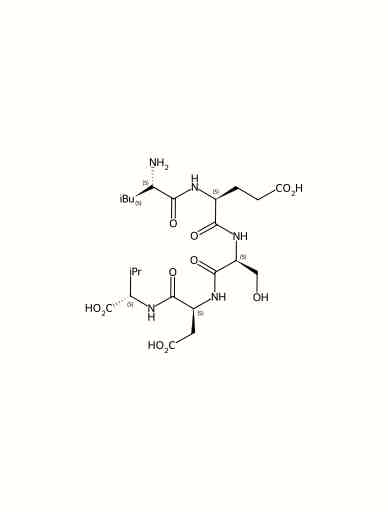 CC[C@H](C)[C@H](N)C(=O)N[C@@H](CCC(=O)O)C(=O)N[C@@H](CO)C(=O)N[C@@H](CC(=O)O)C(=O)N[C@H](C(=O)O)C(C)C